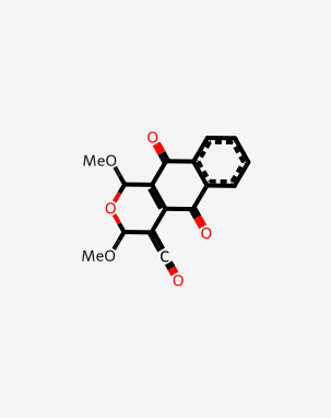 COC1OC(OC)C2=C(C(=O)c3ccccc3C2=O)C1=C=O